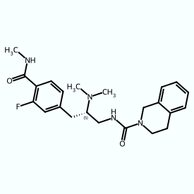 CNC(=O)c1ccc(C[C@@H](CNC(=O)N2CCc3ccccc3C2)N(C)C)cc1F